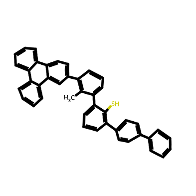 Cc1c(-c2ccc3c4ccccc4c4ccccc4c3c2)cccc1-c1cccc(-c2ccc(-c3ccccc3)cc2)c1S